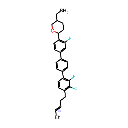 BCC1CCC(c2ccc(-c3ccc(-c4ccc(CC/C=C/CC)c(F)c4F)cc3)cc2F)OC1